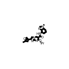 CC(C)Oc1nc2nc(C34COC(C)(C3)C4)cn2cc1C(=O)Nc1cccc2c1ncn2C